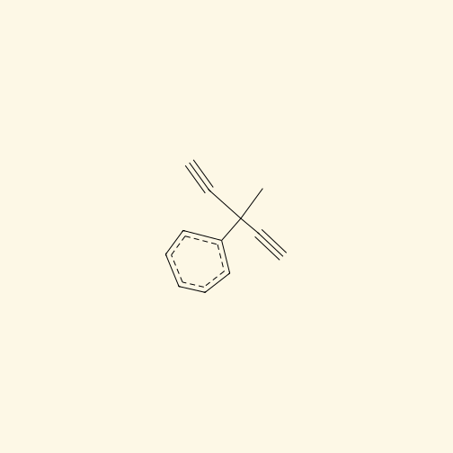 C#CC(C)(C#C)c1ccccc1